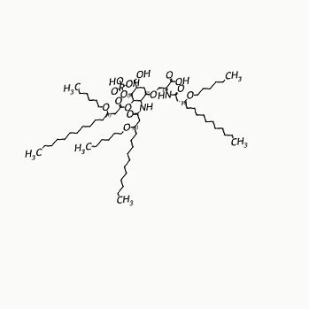 CCCCCCCCCCC[C@H](CC(=O)NC1C(OC(=O)C[C@@H](CCCCCCCCCCC)OCCCCCC)[C@H](OP(=O)(O)O)C(CO)C[C@H]1OC[C@H](NC(=O)C[C@@H](CCCCCCCCCCC)OCCCCCC)C(=O)O)OCCCCCC